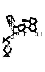 C#Cc1cccc2cc(O)cc(-c3ccc4c(N5CC6CCC(C5)N6)nc(OCC5(CN6CCC7(CC6)CC7)CC5)nc4c3F)c12